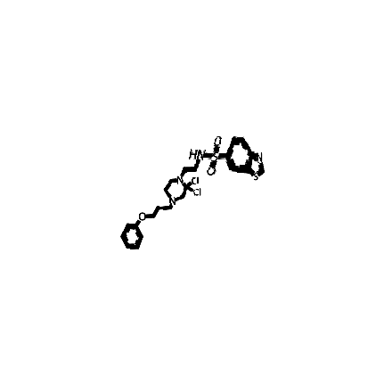 O=S(=O)(NCCN1CCN(CCCOc2ccccc2)CC1(Cl)Cl)c1ccc2ncsc2c1